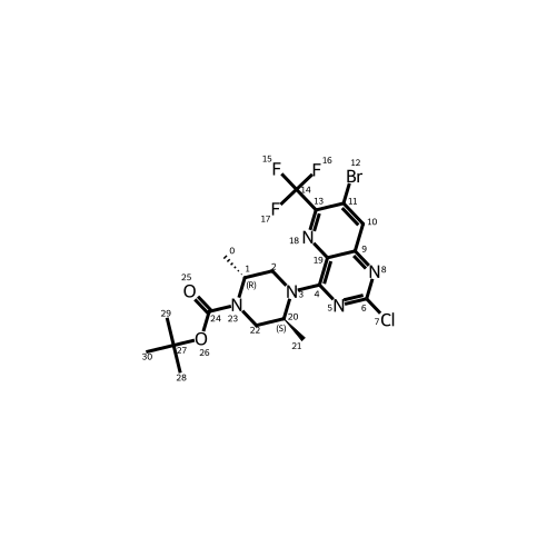 C[C@@H]1CN(c2nc(Cl)nc3cc(Br)c(C(F)(F)F)nc23)[C@@H](C)CN1C(=O)OC(C)(C)C